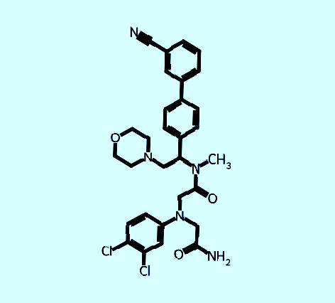 CN(C(=O)CN(CC(N)=O)c1ccc(Cl)c(Cl)c1)C(CN1CCOCC1)c1ccc(-c2cccc(C#N)c2)cc1